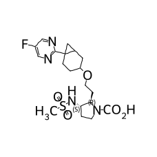 CS(=O)(=O)N[C@H]1CCN(C(=O)O)[C@@H]1CCOC1CCC2(c3ncc(F)cn3)CC2C1